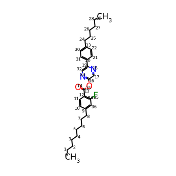 CCCCCCCCCc1ccc(C(=O)Oc2cnc(-c3ccc(CCCCCC)cc3)cn2)c(F)c1